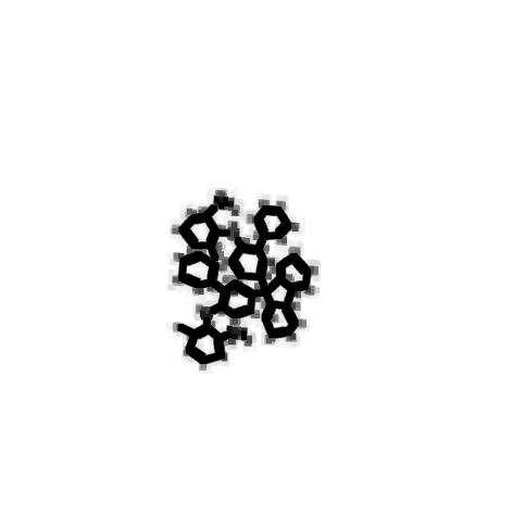 Cc1cccc(N)c1Oc1ccc(C2(c3ccc(Oc4c(C)cccc4N)c(-c4ccccc4)c3)c3ccccc3-c3ccccc32)cc1-c1ccccc1